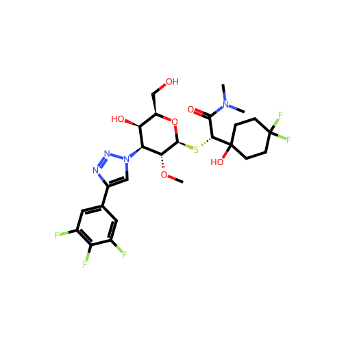 CO[C@@H]1[C@@H](n2cc(-c3cc(F)c(F)c(F)c3)nn2)[C@@H](O)[C@@H](CO)O[C@H]1S[C@H](C(=O)N(C)C)C1(O)CCC(F)(F)CC1